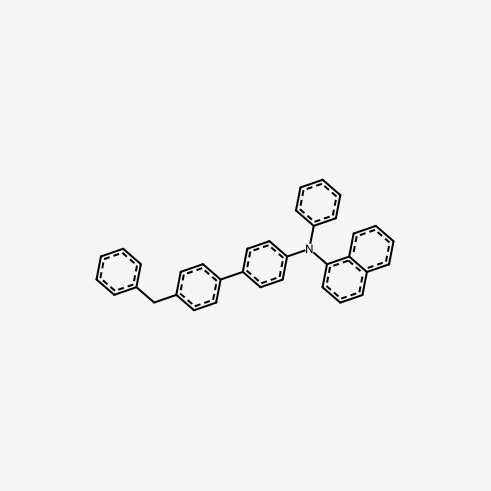 c1ccc(Cc2ccc(-c3ccc(N(c4ccccc4)c4cccc5ccccc45)cc3)cc2)cc1